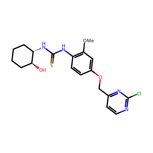 COc1cc(OCc2ccnc(Cl)n2)ccc1NC(=S)N[C@H]1CCCC[C@@H]1O